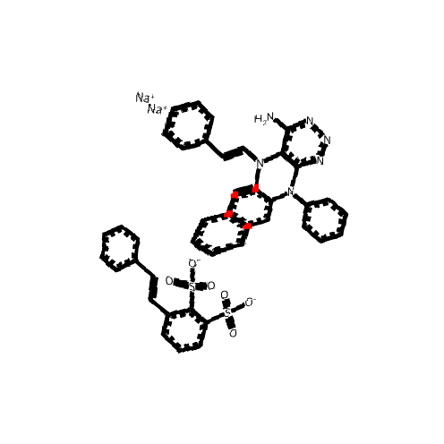 Nc1nnnc(N(c2ccccc2)c2ccccc2)c1N(C=Cc1ccccc1)C=Cc1ccccc1.O=S(=O)([O-])c1cccc(C=Cc2ccccc2)c1S(=O)(=O)[O-].[Na+].[Na+]